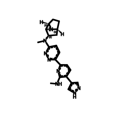 CNc1nc(-c2ccc(N(C)[C@H]3C[C@H]4CC[C@@H](C3)N4)nn2)ccc1-c1cn[nH]c1